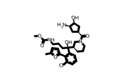 COC(=O)NCCC[C@@](O)(c1cccc(Cl)c1-c1ccc(C)o1)[C@@H]1CCCN(C(=O)[C@H]2C[C@@H](N)[C@@H](O)C2)C1